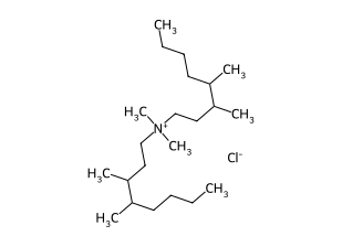 CCCCC(C)C(C)CC[N+](C)(C)CCC(C)C(C)CCCC.[Cl-]